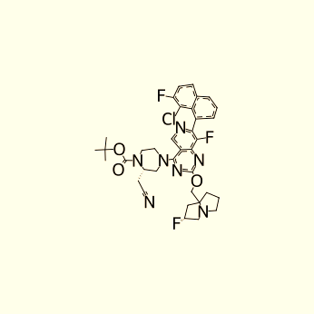 CC(C)(C)OC(=O)N1CCN(c2nc(OCC34CCCN3C[C@H](F)C4)nc3c(F)c(-c4cccc5ccc(F)c(Cl)c45)ncc23)C[C@@H]1CC#N